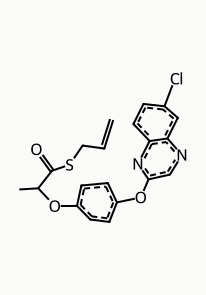 C=CCSC(=O)C(C)Oc1ccc(Oc2cnc3cc(Cl)ccc3n2)cc1